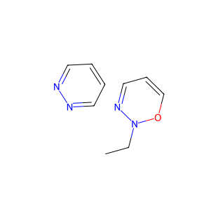 CCN1N=CC=CO1.c1ccnnc1